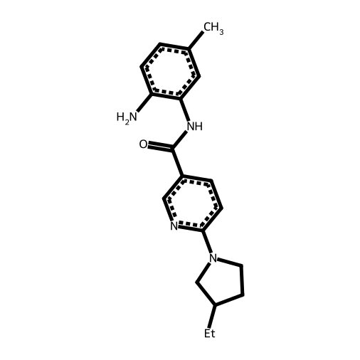 CCC1CCN(c2ccc(C(=O)Nc3cc(C)ccc3N)cn2)C1